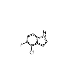 Clc1c(I)ccc2[nH]ccc12